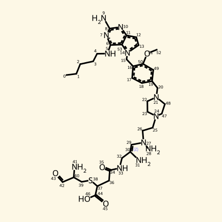 CCCCCNc1nc(N)nc2ccn(Cc3ccc(CN4CCN(CCN(N)/C=C(\N)CNC(=O)CC(SCC(N)C=O)C(=O)O)CC4)cc3OC)c12